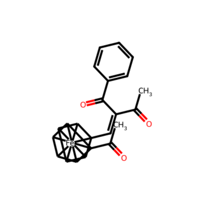 CC(=O)C(=C[C]12[CH]3[CH]4[CH]5[CH]1[Fe]45321678[CH]2[CH]1[CH]6[C]7(C(C)=O)[CH]28)C(=O)c1ccccc1